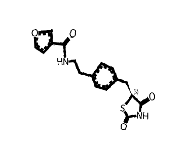 O=C1NC(=O)[C@H](Cc2ccc(CCNC(=O)c3ccoc3)cc2)S1